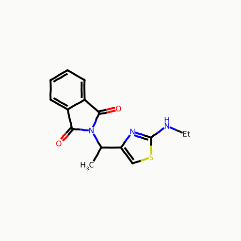 CCNc1nc(C(C)N2C(=O)c3ccccc3C2=O)cs1